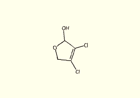 OC1OCC(Cl)=C1Cl